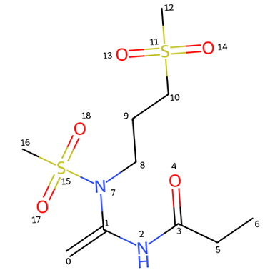 C=C(NC(=O)CC)N(CCCS(C)(=O)=O)S(C)(=O)=O